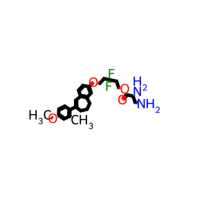 COc1ccc(C2=Cc3ccc(OCCC(F)(F)CCOC(=O)C(N)CN)cc3CCC2)c(C)c1